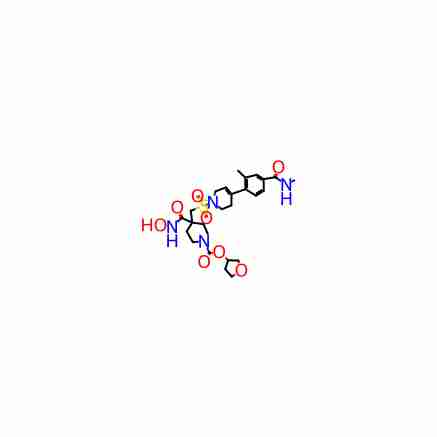 CNC(=O)c1ccc(C2=CCN(S(=O)(=O)CC3(C(=O)NO)CCN(C(=O)OC4CCOC4)CC3)CC2)c(C)c1